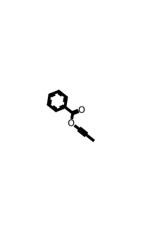 CC#COC(=O)c1ccccc1